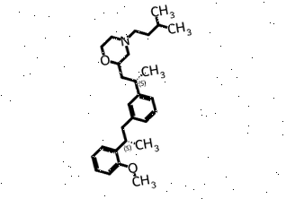 COc1ccccc1[C@@H](C)Cc1cccc([C@@H](C)CC2CN(CCC(C)C)CCO2)c1